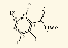 COC(=O)c1c(C)c(F)cc(I)c1F